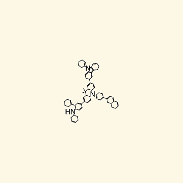 CC1(C)C2C=C(C3=CC(C4=CCCCC4)C(NC4CC=CCC4)C=C3)C=CC2N(C2=CC=C(C3=CC=C4C=CCCC4C3)CC2)C2C=CC(C3C=c4c5c(n(C6=CCCCC6)c4=CC3)C=CCC5)=CC21